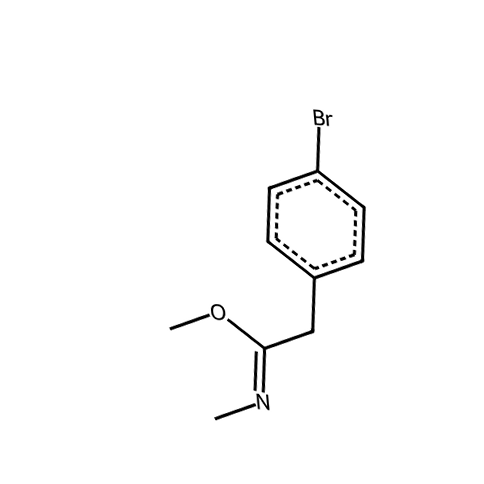 CN=C(Cc1ccc(Br)cc1)OC